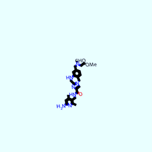 COCCN(C=O)Cc1ccc2c(c1)NCc1nc(C(=O)NCc3c(C)cc(N)nc3C)cn1C2